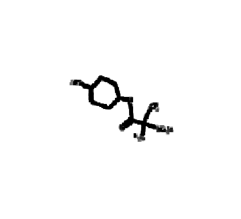 O=C(OC1CCC(O)CC1)C(C(F)(F)F)(C(F)(F)F)S(=O)(=O)O